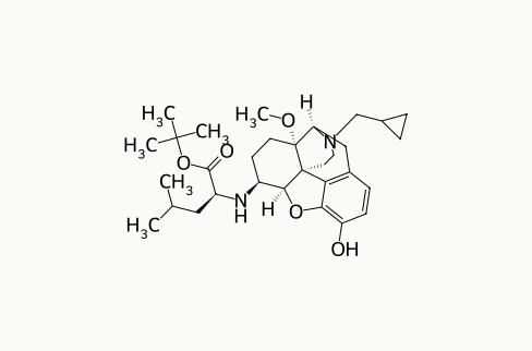 CO[C@@]12CC[C@H](N[C@@H](CC(C)C)C(=O)OC(C)(C)C)[C@@H]3Oc4c(O)ccc5c4[C@@]31CCN(CC1CC1)[C@@H]2C5